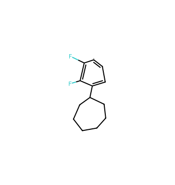 Fc1[c]ccc(C2CCCCCC2)c1F